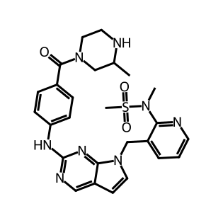 CC1CN(C(=O)c2ccc(Nc3ncc4ccn(Cc5cccnc5N(C)S(C)(=O)=O)c4n3)cc2)CCN1